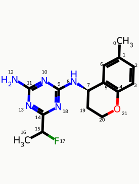 Cc1ccc2c(c1)[C@H](Nc1nc(N)nc(C(C)F)n1)CCO2